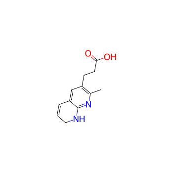 Cc1nc2c(cc1CCC(=O)O)C=CCN2